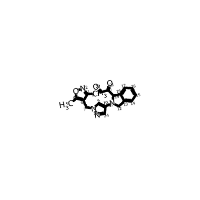 Cc1noc(C)c1Cn1cc(N2Cc3ccccc3C2C(=O)C=O)cn1